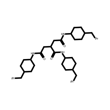 CC(C)CC1CCC(NC(=O)CC(CC(=O)NC2CCC(CC(C)C)CC2)C(=O)NC2CCC(CC(C)C)CC2)CC1